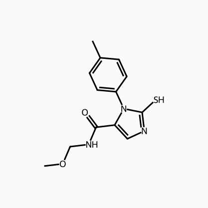 COCNC(=O)c1cnc(S)n1-c1ccc(C)cc1